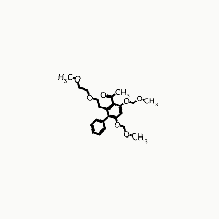 COCCOCCc1c(C(C)=O)c(OCOC)cc(OCOC)c1-c1ccccc1